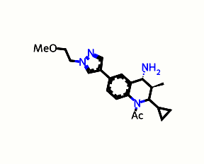 COCCn1cc(-c2ccc3c(c2)[C@H](N)[C@@H](C)C(C2CC2)N3C(C)=O)cn1